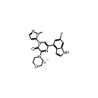 C[C@@H]1COCCN1c1nc(-c2cc(F)cc3[nH]ccc23)cn(-c2ccnn2C)c1=O